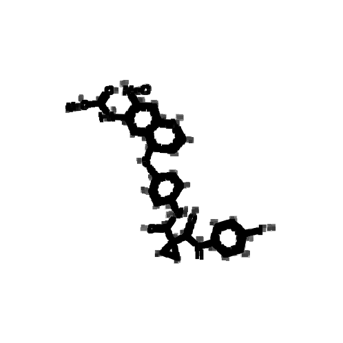 COC(=O)Nc1cc2c(Oc3ccc(NC(=O)C4(C(=O)Nc5ccc(F)cc5)CC4)cc3)ccnc2cc1OC